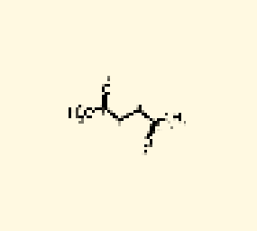 [CH2]C(=O)CCC([CH2])=O